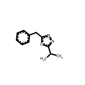 CC(C)c1nnc(Cc2ccccc2)o1